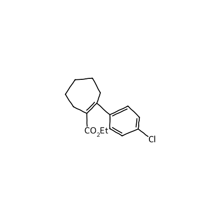 CCOC(=O)C1=C(c2ccc(Cl)cc2)CCCCC1